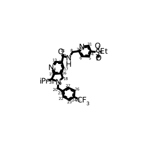 CCS(=O)(=O)c1ccc(CNC(=O)c2cnc3c(c2)CN(Cc2ccc(C(F)(F)F)cc2)C3C(C)C)nc1